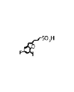 O=S(=O)(O)CCCc1cc2cc(F)cc(I)c2o1